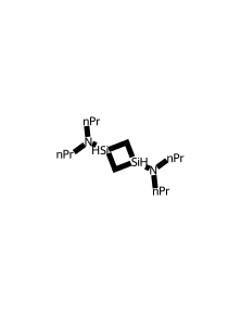 CCCN(CCC)[SiH]1C[SiH](N(CCC)CCC)C1